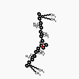 CCCCCCCCC1(CCCCCCC)c2ccccc2-c2ccc(-c3ccc4c(c3)C(C)(C)c3cc(-c5ccc6c(c5)C(C)(C)c5cc(-c7ccc8c(c7)Oc7cc(-c9ccc%10c(c9)C(C)(C)c9cc(-c%11ccc%12c(c%11)C(C)(C)c%11cc(-c%13ccc%14c(c%13)C(CCCCCCCC)(CCCCCCCC)c%13ccccc%13-%14)ccc%11-%12)ccc9-%10)ccc7N8c7ccccc7-c7ccccc7)ccc5-6)ccc3-4)cc21